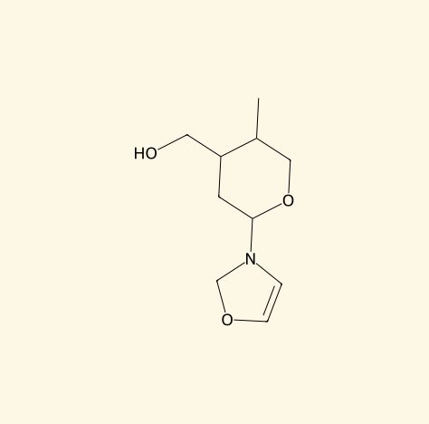 CC1COC(N2C=COC2)CC1CO